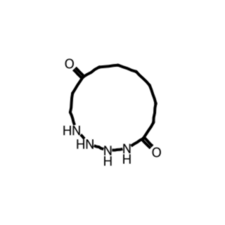 O=C1CCCCCCC(=O)NNNNCC1